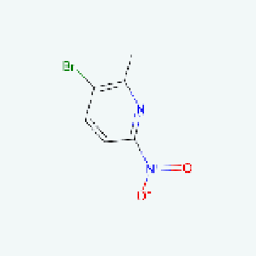 Cc1nc([N+](=O)[O-])ccc1Br